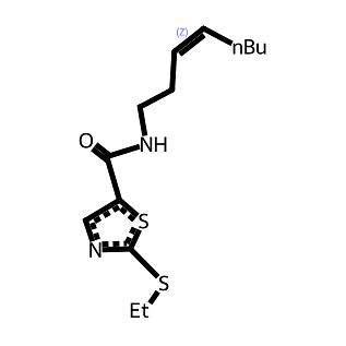 CCCC/C=C\CCNC(=O)c1cnc(SCC)s1